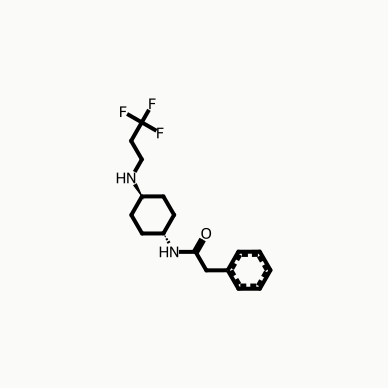 O=C(Cc1ccccc1)N[C@H]1CC[C@H](NCCC(F)(F)F)CC1